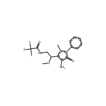 COC(CNC(=O)C(F)(F)F)c1c(N)c(=O)n(-c2ccccc2)n1C